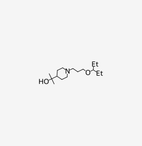 CCC(CC)OCCCN1CCC(C(C)(C)O)CC1